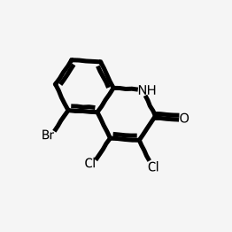 O=c1[nH]c2cccc(Br)c2c(Cl)c1Cl